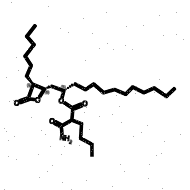 CCCCCCCCCCC[C@@H](C[C@@H]1OC(=O)[C@H]1CCCCCC)OC(=O)C(CCCC)C(N)=O